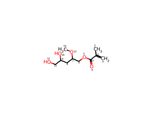 C=C(C)C(=O)OCC(CC(O)CO)OC